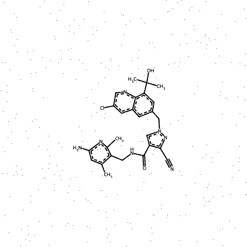 Cc1cc(N)nc(C)c1CNC(=O)c1cn(Cc2cc(C(C)(C)O)c3ncc(Cl)cc3c2)nc1C#N